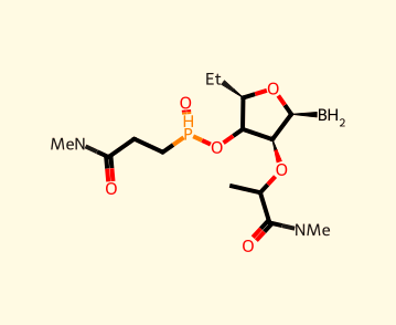 B[C@@H]1O[C@H](CC)C(O[PH](=O)CCC(=O)NC)[C@@H]1OC(C)C(=O)NC